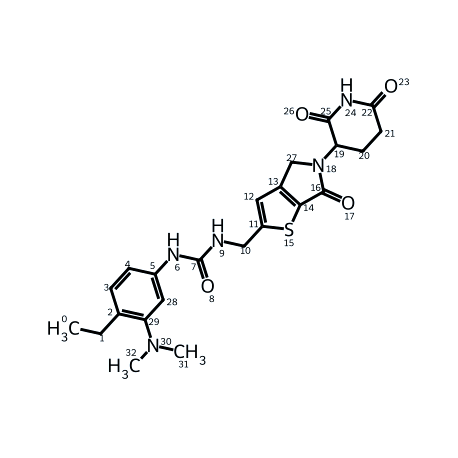 CCc1ccc(NC(=O)NCc2cc3c(s2)C(=O)N(C2CCC(=O)NC2=O)C3)cc1N(C)C